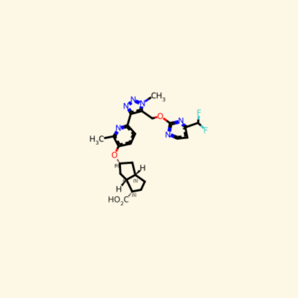 Cc1nc(-c2nnn(C)c2COc2nccc(C(F)F)n2)ccc1O[C@@H]1C[C@@H]2CC[C@H](C(=O)O)[C@@H]2C1